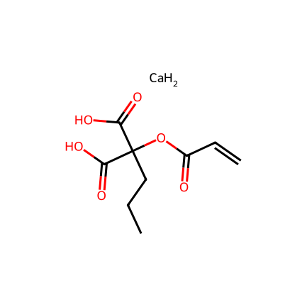 C=CC(=O)OC(CCC)(C(=O)O)C(=O)O.[CaH2]